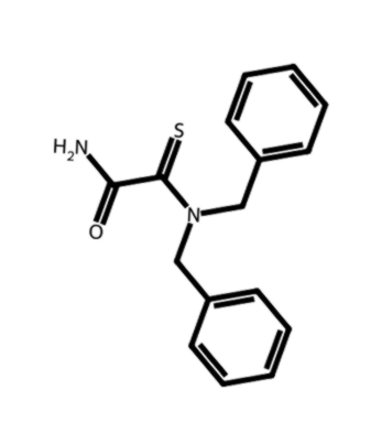 NC(=O)C(=S)N(Cc1ccccc1)Cc1ccccc1